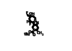 C[C@@H]1Cc2nn3c(c2CN1C(=O)OC(C)(C)C)C(F)(F)CC(O)(CF)CC3